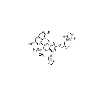 C#Cc1c(F)ccc2cc(O)cc(-c3cc4nc(OCC5(CN6C[C@H]7C[C@@H]6CO7)CC5)nc(N5CC6CCC(C5)N6)c4cc3C(C)C)c12